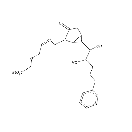 CCOC(=O)COC/C=C\CC1C(=O)CC2C1C2C(O)C(O)CCCc1ccccc1